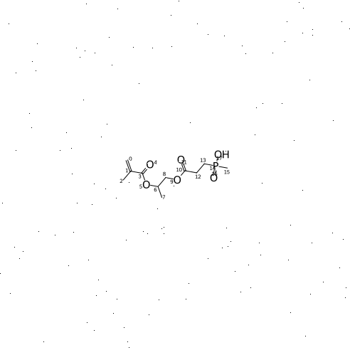 C=C(C)C(=O)OC(C)COC(=O)CCP(C)(=O)O